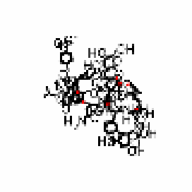 CC(C)C[C@H](C(=O)N[C@H]1C(=O)C[C@@H](CC(N)=O)C(=O)N[C@H]2C(=O)C[C@H]3C(=O)N[C@H](C(=O)N[C@H](C(=O)O)c4cc(O)cc(O)c4-c4cc3ccc4O)[C@H](O)c3ccc(c(Cl)c3)Oc3cc2cc(c3O[C@@H]2O[C@H](CO)[C@@H](O)[C@H](O)[C@H]2O[C@H]2C[C@](C)(NC(=O)OCc3ccc([N+](=O)[O-])cc3)[C@H](O)[C@H](C)O2)Oc2ccc(cc2Cl)[C@H]1O)N(C)C(=O)OCc1ccc([N+](=O)[O-])cc1